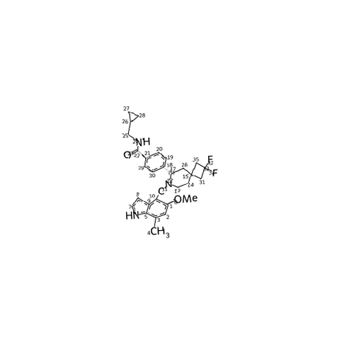 COc1cc(C)c2[nH]ccc2c1CN1CCC2(C[C@H]1c1ccc(C(=O)NCC3CC3)cc1)CC(F)(F)C2